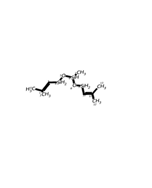 CC(C)=C[SiH2]O[SiH](C)O[SiH2]C=C(C)C